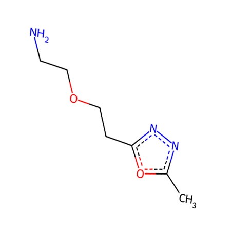 Cc1nnc(CCOCCN)o1